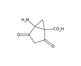 NC12CC1(C(=O)O)C(=O)CC2=O